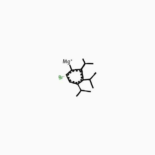 CC(C)c1cc[c]([Mg+])c(C(C)C)c1C(C)C.[Br-]